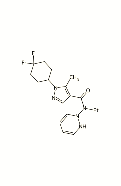 CCN(C(=O)c1cnn(C2CCC(F)(F)CC2)c1C)N1C=CC=CN1